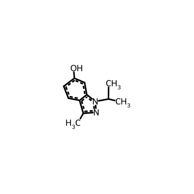 Cc1nn(C(C)C)c2cc(O)ccc12